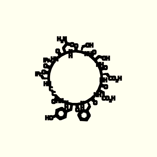 CC(C)C[C@H]1NCCC(=O)NNC(Cc2ccc(O)cc2)C(=O)N[C@@H](Cc2ccccc2)C(=O)NC(CC(=O)O)C(=O)N[C@@H](CC(=O)O)C(=O)NC(CO)C(=O)N[C@@H](CO)C(=O)NC(CC(N)=O)C(=O)N[C@@H](C(C)C)C(=O)C1=O